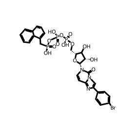 O=c1n([C@@H]2O[C@H](COP(=O)(O)OP(=O)(O)OP(=O)(O)Cc3cccc4ccccc34)C(O)[C@@H]2O)ccc2nc(-c3ccc(Br)cc3)cn12